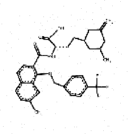 C=C1CC(C)CC(CC[C@H](NC(=O)c2ccc3ccc(C)cc3c2OCc2ccc(C(F)(F)F)cc2)C(=O)O)C1